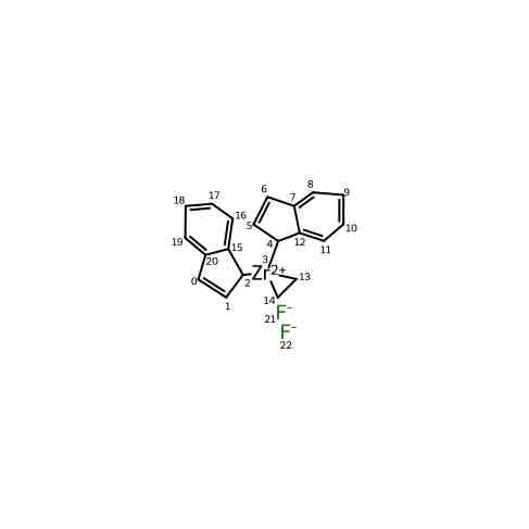 C1=C[CH]([Zr+2]2([CH]3C=Cc4ccccc43)[CH2][CH2]2)c2ccccc21.[F-].[F-]